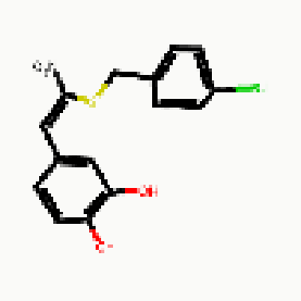 O=[N+]([O-])C(=Cc1ccc(O)c(O)c1)SCc1ccc(Cl)cc1